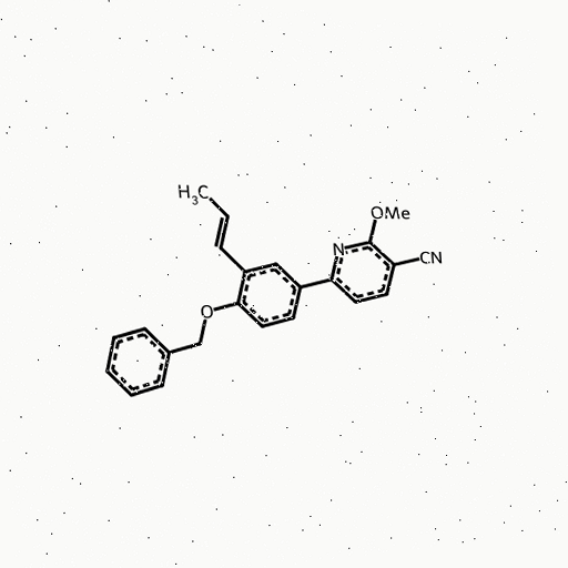 CC=Cc1cc(-c2ccc(C#N)c(OC)n2)ccc1OCc1ccccc1